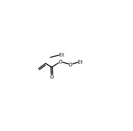 C=CC(=O)OOCC.CCC